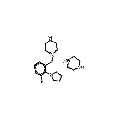 C1CNCCN1.Fc1cccc(CN2CCNCC2)c1N1CCCC1